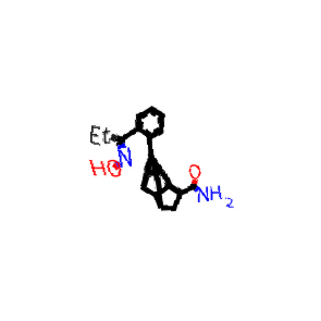 CCC(=NO)c1ccccc1C12C3CC(C(N)=O)C4C3CC1C42